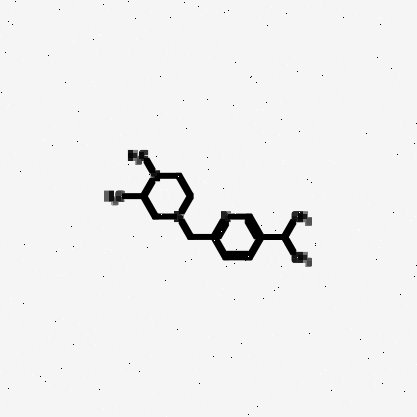 CC(C)c1ccc(CN2CCN(C)C(C)C2)nc1